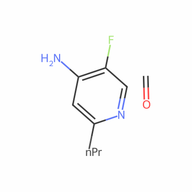 C=O.CCCc1cc(N)c(F)cn1